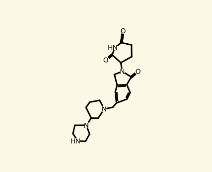 O=C1CCC(N2Cc3cc(CN4CCCC(N5CCNCC5)C4)ccc3C2=O)C(=O)N1